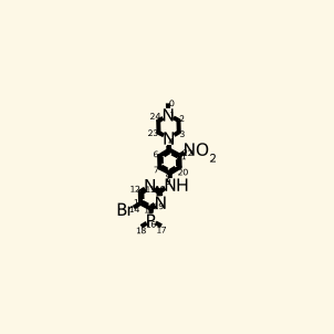 CN1CCN(c2ccc(Nc3ncc(Br)c(P(C)C)n3)cc2[N+](=O)[O-])CC1